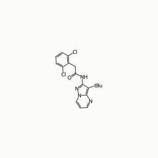 CC(C)(C)c1c(NC(=O)Cc2c(Cl)cccc2Cl)nn2cccnc12